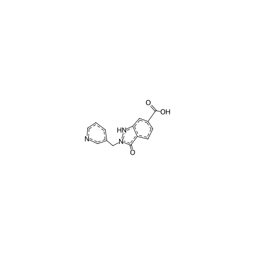 O=C(O)c1ccc2c(=O)n(Cc3cccnc3)[nH]c2c1